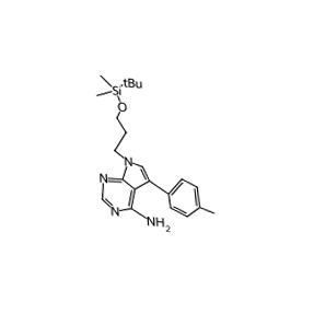 Cc1ccc(-c2cn(CCCO[Si](C)(C)C(C)(C)C)c3ncnc(N)c23)cc1